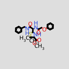 COC(=O)C1NC([C@H](NC(=O)COc2ccccc2)C(=O)NCc2ccccc2)SC1(C)C